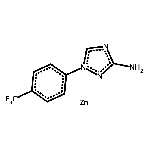 Nc1ncn(-c2ccc(C(F)(F)F)cc2)n1.[Zn]